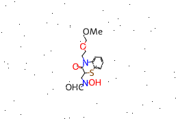 COCCOCCN1C(=O)C(CN(O)C=O)Sc2ccccc21